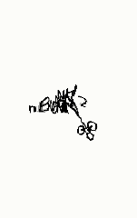 CCCCOc1nc(N)c2ncn(CCCCN3C(=O)c4ccccc4C3=O)c2n1